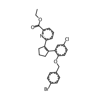 CCOC(=O)c1cccc(C2=C(c3cc(Cl)ccc3OCc3ccc(Br)cc3)CCC2)n1